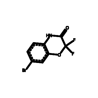 O=C1Nc2ccc(Br)cc2OC1(F)F